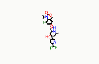 CC(C)N1C(=O)OCc2cc(OC[C@@H]3C[C@](O)(c4ccc(C(F)F)nc4)C[C@H](C)N3)cc(F)c21